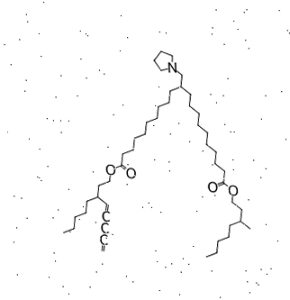 C=C=C=C=CC(CCCCC)CCOC(=O)CCCCCCCCCC(CCCCCCCCCC(=O)OCCC(C)CCCCC)CN1CCCC1